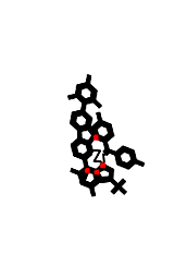 CCC1C=C(C(C)(C)C)C=[C]1[Zr](=[C](c1ccc(C)cc1)c1ccc(C)cc1)[c]1c(-c2c(C)cc(C)cc2C)ccc2c1Cc1cc(-c3c(C)cc(C)cc3C)ccc1-2